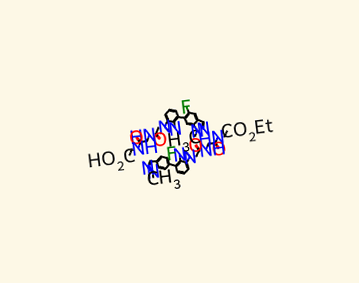 CCOC(=O)CNC(=O)CNC(=O)Cn1cnc2c(-c3cc4c(cnn4C)cc3F)cccc21.Cn1ncc2cc(F)c(-c3cccc4c3ncn4CC(=O)NCC(=O)NCC(=O)O)cc21